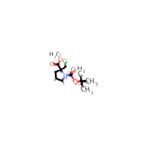 COC(=O)C1(CCl)CCCN1C(=O)OC(C)(C)C